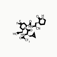 C#CC[C@H]1CC(F)(F)C[C@@H](C(=O)N[C@H](C#N)C[C@@H]2CCCNC2=O)N1C(=O)[C@H](CC1CC1)NC(=O)C(F)(F)F